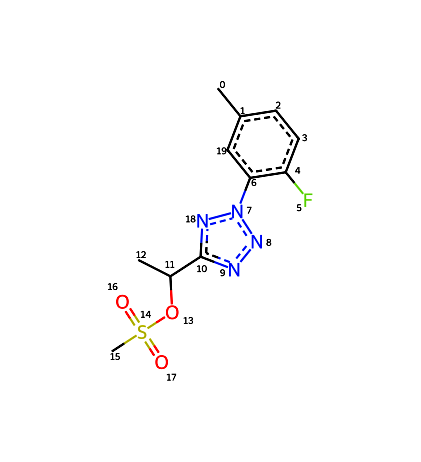 Cc1ccc(F)c(-n2nnc(C(C)OS(C)(=O)=O)n2)c1